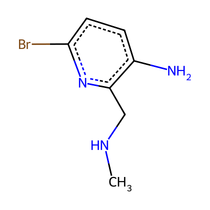 CNCc1nc(Br)ccc1N